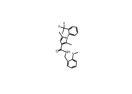 CSc1ccccc1CNC(=O)c1cc(C)n(-c2ccccc2C(F)(F)F)c1C